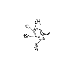 N#Cc1cnn2cc(O)c(Cl)c(Br)c12